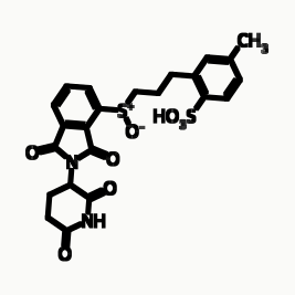 Cc1ccc(S(=O)(=O)O)c(CCC[S+]([O-])c2cccc3c2C(=O)N(C2CCC(=O)NC2=O)C3=O)c1